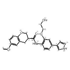 COc1ccc2c(c1)CC(C(=O)Nc1ccc(-c3cn[nH]c3)cc1OCCO)CO2